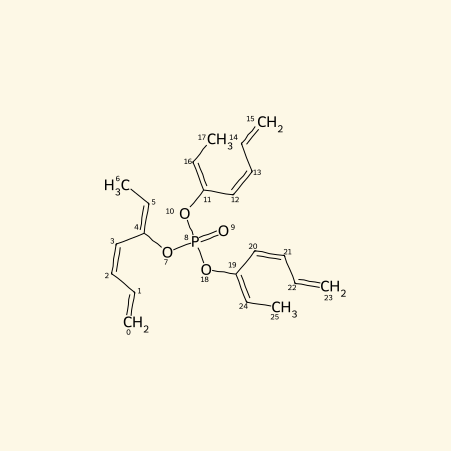 C=C/C=C\C(=C/C)OP(=O)(OC(/C=C\C=C)=C/C)OC(/C=C\C=C)=C/C